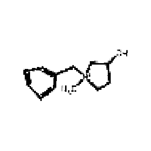 C[N+]1(Cc2ccccc2)CCC(O)C1